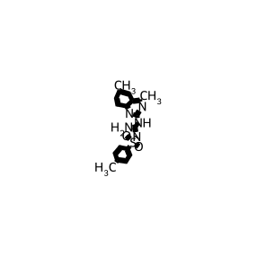 Cc1ccc(S(=O)(=O)/N=C(\N)Nc2nc(C)c3cc(C)ccc3n2)cc1